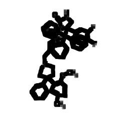 COc1ccc(C)cc1C1(c2ccccc2)CCN(CCCNC(=O)N2C(=O)NCC2(c2ccc(F)c(F)c2)C(c2ccccc2)(c2ccccc2)c2ccccc2)CC1